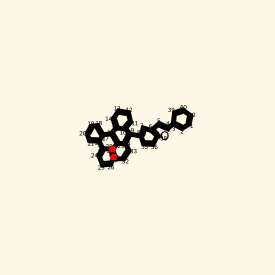 c1ccc(-c2cc3cc(-c4c5ccccc5c(-c5ccccc5-c5ccccc5)c5ccccc45)ccc3o2)cc1